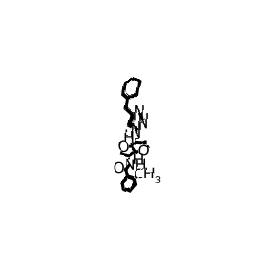 Cc1ccccc1C(=O)N[C@H]1CO[C@H]2[C@@H]1OC[C@@H]2n1cc(CC2CCCCC2)nn1